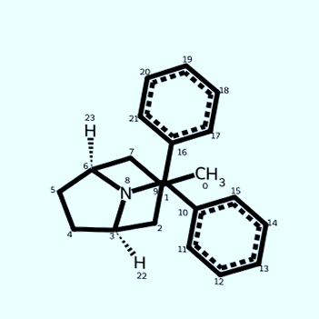 CC1C[C@H]2CC[C@@H](C1)N2C(c1ccccc1)c1ccccc1